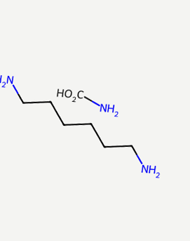 NC(=O)O.NCCCCCCN